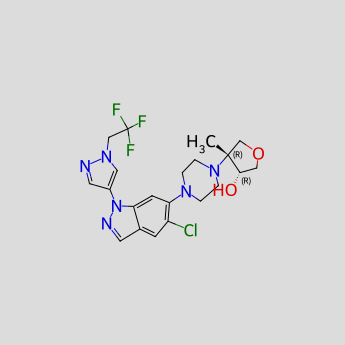 C[C@@]1(N2CCN(c3cc4c(cnn4-c4cnn(CC(F)(F)F)c4)cc3Cl)CC2)COC[C@@H]1O